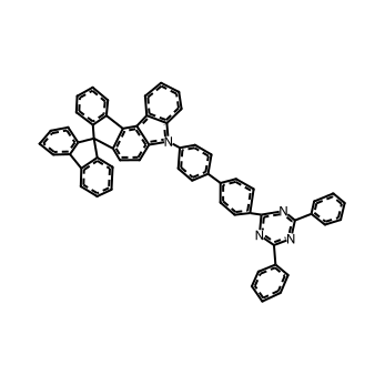 c1ccc(-c2nc(-c3ccccc3)nc(-c3ccc(-c4ccc(-n5c6ccccc6c6c7c(ccc65)C5(c6ccccc6-c6ccccc65)c5ccccc5-7)cc4)cc3)n2)cc1